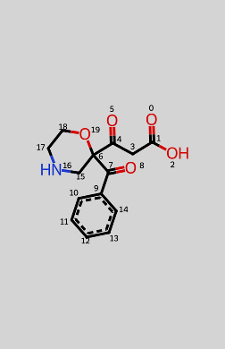 O=C(O)CC(=O)C1(C(=O)c2ccccc2)CNCCO1